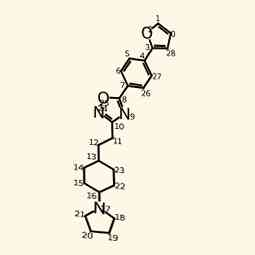 c1coc(-c2ccc(-c3nc(CCC4CCC(N5CCCC5)CC4)no3)cc2)c1